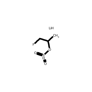 CC(CF)O[SH](=O)=O.[LiH]